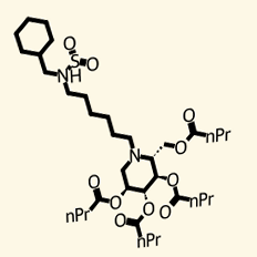 CCCC(=O)OC[C@@H]1[C@@H](OC(=O)CCC)[C@H](OC(=O)CCC)[C@@H](OC(=O)CCC)CN1CCCCCCN(CC1CCCCC1)[SH](=O)=O